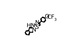 FC(F)(F)Oc1ccc(-c2csc(Nc3cc4ccccc4cn3)n2)cc1